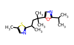 Cc1cnc(C(C)CC(C)(C)c2cnc(C(C)C)o2)s1